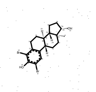 C[C@]12CC[C@@H]3c4cc(Br)c(O)c(Br)c4CC[C@H]3[C@@H]1CC[C@@H]2O